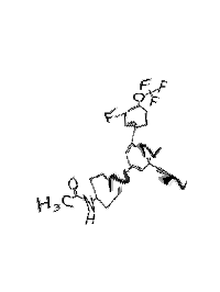 CC(=O)NC1CCN(c2cc(C#N)nc(-c3ccc(OC(F)(F)F)c(F)c3)c2)CC1